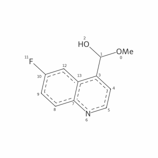 COC(O)c1ccnc2ccc(F)cc12